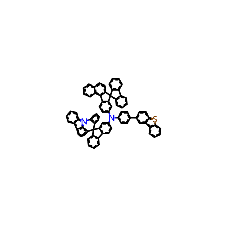 c1ccc2c(c1)-c1ccccc1C21c2cc(N(c3ccc(-c4ccc5sc6ccccc6c5c4)cc3)c3ccc4c(c3)C3(c5ccccc5-4)c4ccccc4-n4c5ccccc5c5cccc3c54)ccc2-c2c1ccc1ccccc21